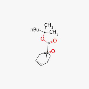 CCCCC(C)(C)OC(=O)C1CC2C=CC1C2=O